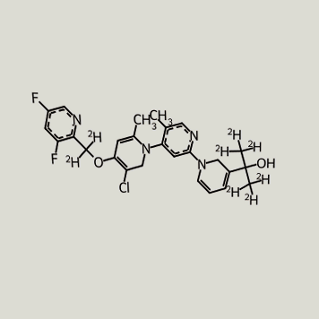 [2H]C([2H])(OC1=C(Cl)CN(c2cc(N3C=CC=C(C(O)(C([2H])([2H])[2H])C([2H])([2H])[2H])C3)ncc2C)C(C)=C1)c1ncc(F)cc1F